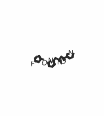 Fc1cccc(COc2cccc(Cc3cc(-c4cccnc4)on3)n2)c1